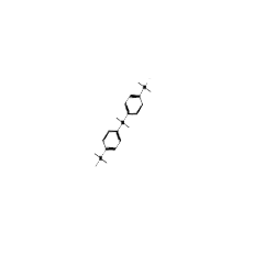 CC(C)(C)c1ccc(C(C)(C)c2ccc(C(C)(C)F)cc2)cc1